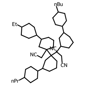 CCCCC1CCC(C2CCCC(C(C#N)(CC#N)C3(C4(CC#N)CCCC(C5CCC(CC)CC5)C4)CCCC(C4CCC(CCC)CC4)C3)C2)CC1